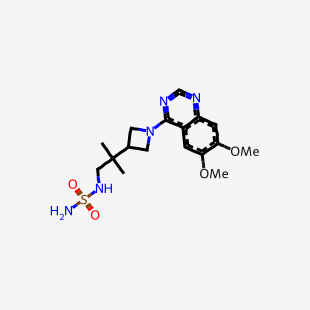 COc1cc2ncnc(N3CC(C(C)(C)CNS(N)(=O)=O)C3)c2cc1OC